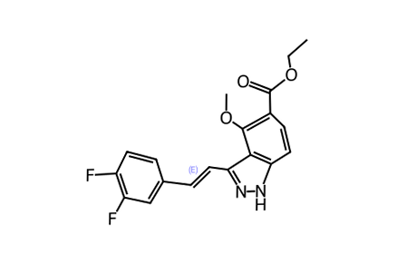 CCOC(=O)c1ccc2[nH]nc(/C=C/c3ccc(F)c(F)c3)c2c1OC